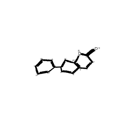 O=c1ccc2ccc(-c3ccccc3)cc2o1